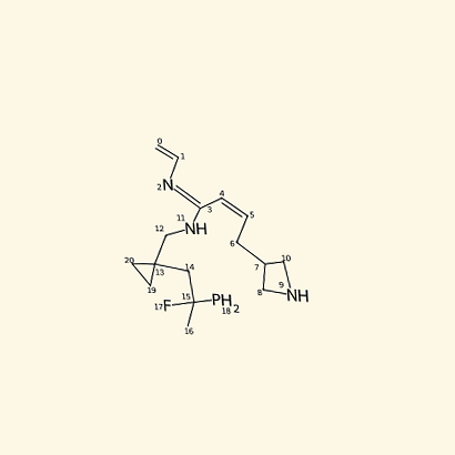 C=C/N=C(\C=C/CC1CNC1)NCC1(CC(C)(F)P)CC1